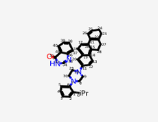 CC(C)c1ccccc1N1CCN(c2ccc3c4c(ccc3c2)C2=C(CCC=C2)CC4)CC1.O=c1[nH]cnc2ccccc12